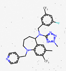 Cc1cc2c(cc1C(F)(F)F)N(Cc1ccncc1)CCCC2N(Cc1cc(F)cc(C(F)(F)F)c1)c1nnn(C)n1